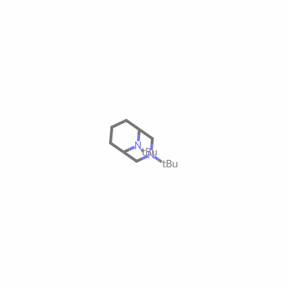 CC(C)(C)N1CC2CCCC(C1)N2C(C)(C)C